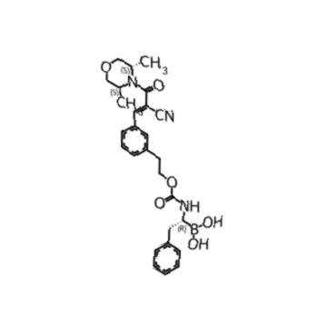 C[C@H]1COC[C@H](C)N1C(=O)C(C#N)=Cc1cccc(CCOC(=O)N[C@@H](Cc2ccccc2)B(O)O)c1